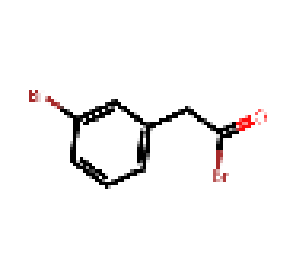 O=C(Br)Cc1cccc(Br)c1